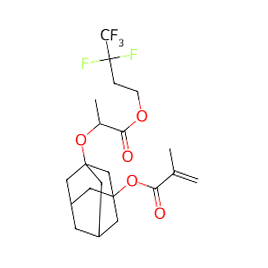 C=C(C)C(=O)OC12CC3CC(C1)CC(OC(C)C(=O)OCCC(F)(F)C(F)(F)F)(C3)C2